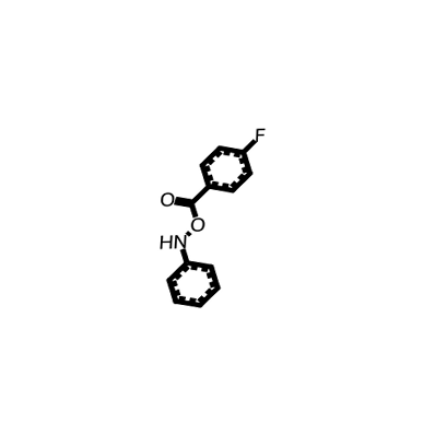 O=C(ONc1ccccc1)c1ccc(F)cc1